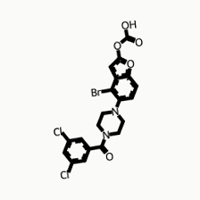 O=C(O)Oc1cc2c(Br)c(N3CCN(C(=O)c4cc(Cl)cc(Cl)c4)CC3)ccc2o1